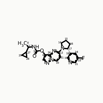 CC(NC(=O)Oc1cnn2ccc(N3CCC[C@@H]3c3cncc(F)c3)nc12)C1CC1